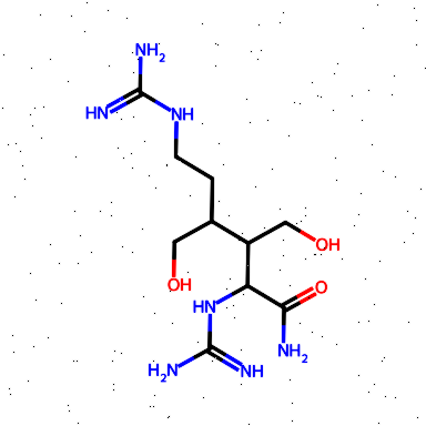 N=C(N)NCCC(CO)C(CO)C(NC(=N)N)C(N)=O